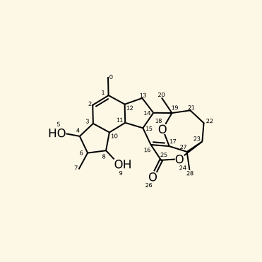 CC1=CC2C(O)C(C)C(O)C2C2C1CC1C2C2=C3OC1(C)CCC(OC2=O)C3C